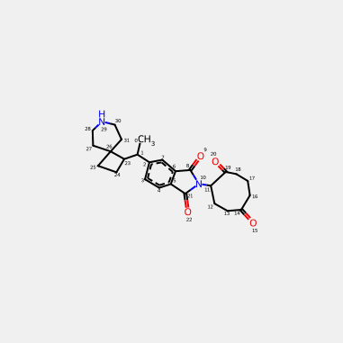 CC(c1ccc2c(c1)C(=O)N(C1CCC(=O)CCCC1=O)C2=O)C1CCC12CCNCC2